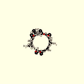 CCCC[C@H]1C(=O)N(C)CC(=O)N[C@@H](CCN)C(=O)N[C@@H](C(C)C)C(=O)N(C)[C@@H](Cc2ccccc2)C(=O)N[C@H]2Cc3ccc(O)cc3N(CC(=O)N[C@@H](Cc3c[nH]c4ccccc34)C(=O)N[C@@H](Cc3ccc(O)cc3)C(=O)N[C@@H](CC(C)C)C(=O)N[C@H](C(=O)NCC(N)=O)CSCC(=O)N[C@@H](Cc3ccccc3)C(=O)N(C)[C@@H](Cc3ccccc3)C(=O)N1C)C2=O